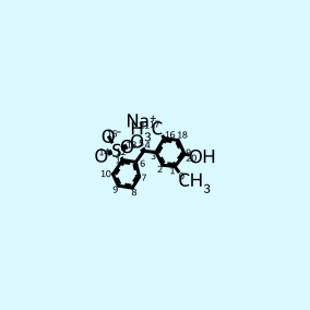 Cc1cc(C(=O)c2ccccc2S(=O)(=O)[O-])c(C)cc1O.[Na+]